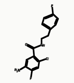 Nc1cc(C(=O)NCCc2ccc(F)cc2)c(Cl)cc1F